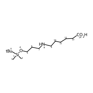 CC(C)(C)[Si](C)(C)OCCCNCCCCCC(=O)O